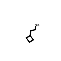 [NH]CCC1CCC1